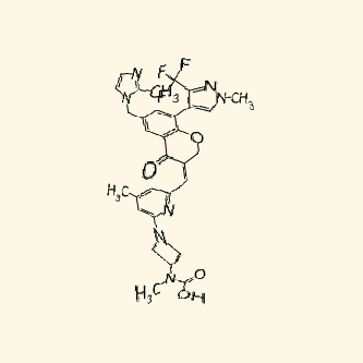 Cc1cc(C=C2COc3c(cc(Cn4ccnc4C)cc3-c3cn(C)nc3C(F)(F)F)C2=O)nc(N2CC(N(C)C(=O)O)C2)c1